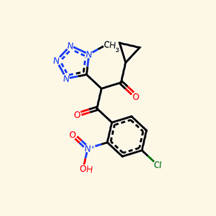 Cn1nnnc1C(C(=O)c1ccc(Cl)cc1[N+](=O)O)C(=O)C1CC1